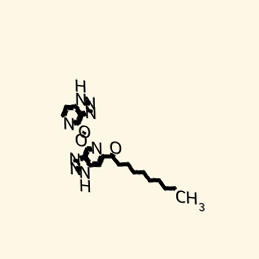 CCCCCCCCCC(=O)c1cc2[nH]nnc2c(OOc2nccc3[nH]nnc23)n1